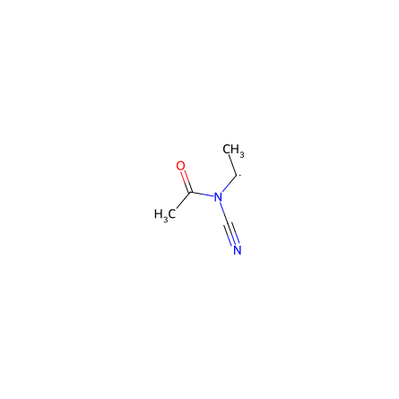 C[CH]N(C#N)C(C)=O